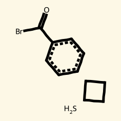 C1CCC1.O=C(Br)c1ccccc1.S